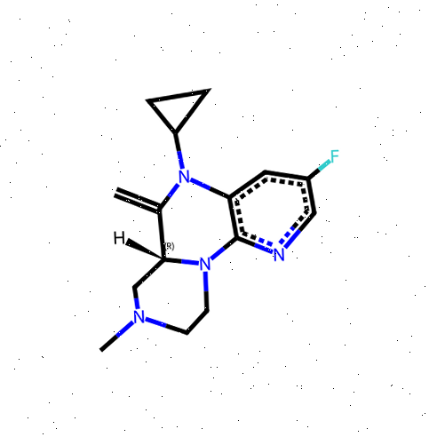 C=C1[C@H]2CN(C)CCN2c2ncc(F)cc2N1C1CC1